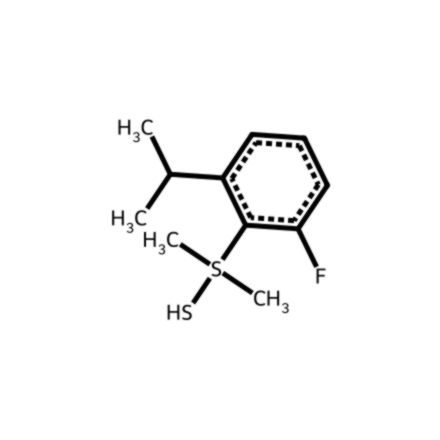 CC(C)c1cccc(F)c1S(C)(C)S